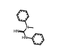 CN(C(=N)Nc1ccccc1)c1ccccc1